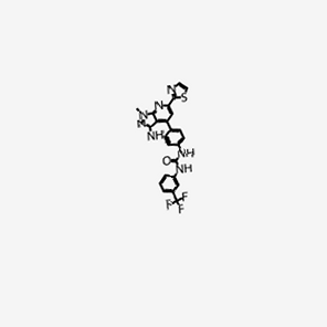 Cn1nc(N)c2c(-c3ccc(NC(=O)Nc4cccc(C(F)(F)F)c4)cc3)cc(-c3nccs3)nc21